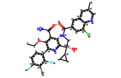 CCOc1c(C(N)=O)cc([C@@](O)(CNC(=O)c2cc(Cl)c3ncc(C)cc3c2)C2CC2)nc1-c1ccc(F)c(Br)c1F